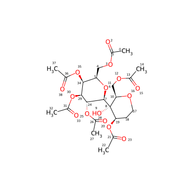 CC(=O)OC[C@H]1O[C@@H]([C@@]2(O)[C@@H](COC(C)=O)O[CH]C[C@H]2OC(C)=O)[C@H](OC(C)=O)[C@@H](OC(C)=O)[C@H]1OC(C)=O